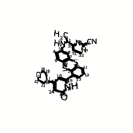 CC(Nc1ccc2c(c1)Sc1cccc(-c3cc(N4CCOCC4)cc(=O)[nH]3)c1S2)c1ccnc(C#N)n1